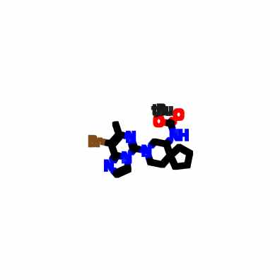 Cc1nc(N2CCC3(CCCC3)C(NC(=O)OC(C)(C)C)C2)n2ccnc2c1Br